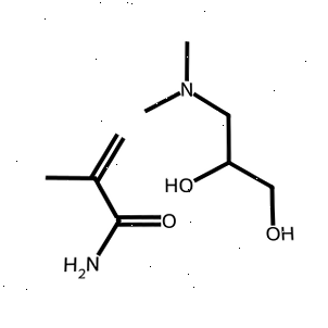 C=C(C)C(N)=O.CN(C)CC(O)CO